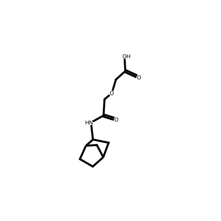 O=C(O)COCC(=O)NC1CC2CCC1C2